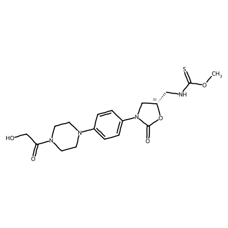 COC(=S)NC[C@H]1CN(c2ccc(N3CCN(C(=O)CO)CC3)cc2)C(=O)O1